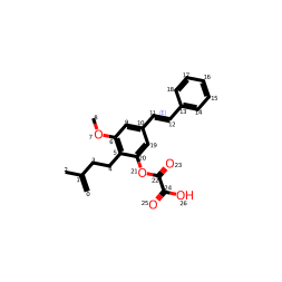 C=C(C)CCc1c(OC)cc(/C=C/c2ccccc2)cc1OC(=O)C(=O)O